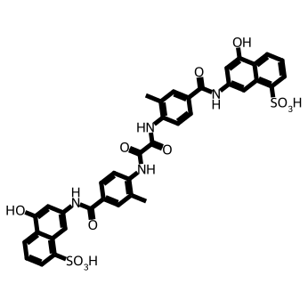 Cc1cc(C(=O)Nc2cc(O)c3cccc(S(=O)(=O)O)c3c2)ccc1NC(=O)C(=O)Nc1ccc(C(=O)Nc2cc(O)c3cccc(S(=O)(=O)O)c3c2)cc1C